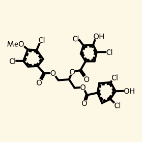 COc1c(Cl)cc(C(=O)OCC(COC(=O)c2cc(Cl)c(O)c(Cl)c2)OC(=O)c2cc(Cl)c(O)c(Cl)c2)cc1Cl